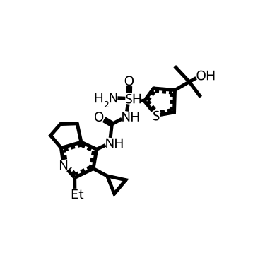 CCc1nc2c(c(NC(=O)N[SH](N)(=O)c3cc(C(C)(C)O)cs3)c1C1CC1)CCC2